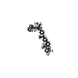 Cn1c(=O)n(C2CCC(=O)NC2=O)c2cccc(N3CCC(N(C[C@H]4CC[C@H](n5cc(NC(=O)c6cnn7cccnc67)c(C(F)F)n5)CC4)C4CC4)CC3)c21